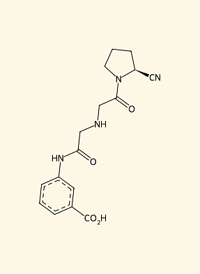 N#C[C@@H]1CCCN1C(=O)CNCC(=O)Nc1cccc(C(=O)O)c1